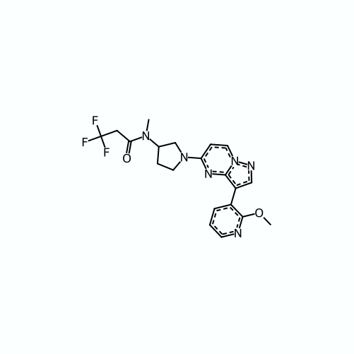 COc1ncccc1-c1cnn2ccc(N3CCC(N(C)C(=O)CC(F)(F)F)C3)nc12